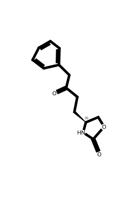 O=C(CC[C@H]1COC(=O)N1)Cc1ccccc1